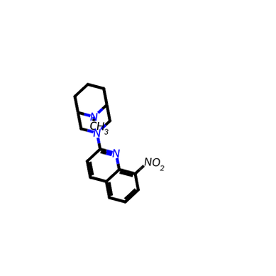 CN1C2CCCC1CN(c1ccc3cccc([N+](=O)[O-])c3n1)C2